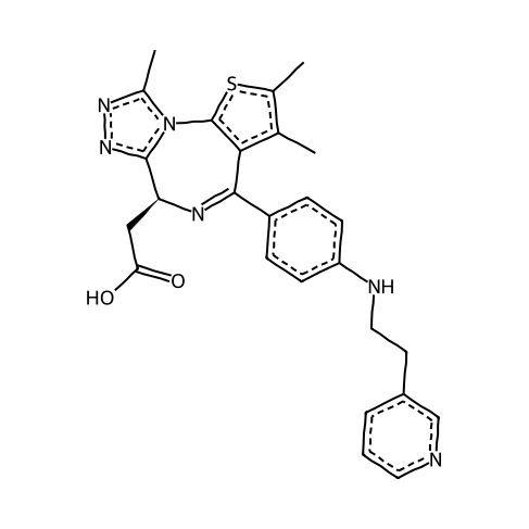 Cc1sc2c(c1C)C(c1ccc(NCCc3cccnc3)cc1)=N[C@@H](CC(=O)O)c1nnc(C)n1-2